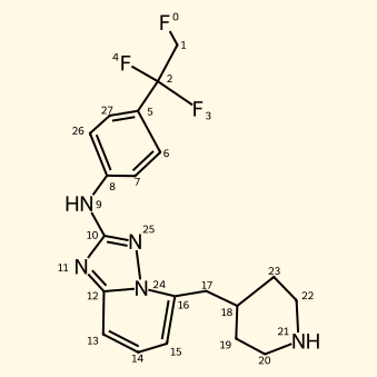 FCC(F)(F)c1ccc(Nc2nc3cccc(CC4CCNCC4)n3n2)cc1